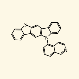 c1cc(-n2c3ccccc3c3cc4sc5ccccc5c4cc32)c2ccncc2c1